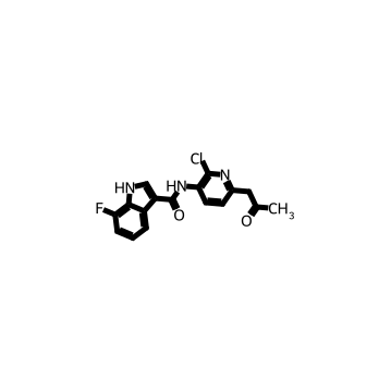 CC(=O)Cc1ccc(NC(=O)c2c[nH]c3c(F)cccc23)c(Cl)n1